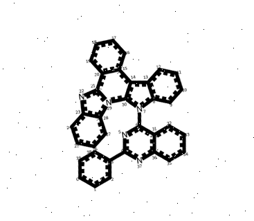 c1ccc(-c2nc(-n3c4ccccc4c4c5ccccc5c5nc6ccccc6n5c43)c3ccccc3n2)cc1